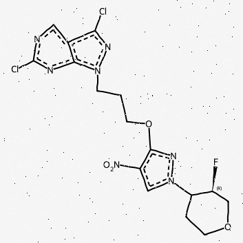 O=[N+]([O-])c1cn(C2CCOC[C@@H]2F)nc1OCCCn1nc(Cl)c2cnc(Cl)nc21